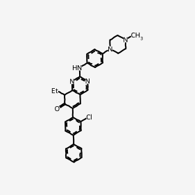 CCC1C(=O)C(c2ccc(-c3ccccc3)cc2Cl)=Cc2cnc(Nc3ccc(N4CCN(C)CC4)cc3)nc21